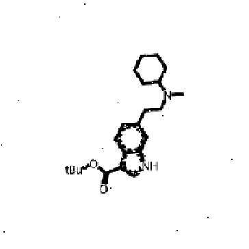 CN(CCc1ccc2c(C(=O)OC(C)(C)C)c[nH]c2c1)C1CCCCC1